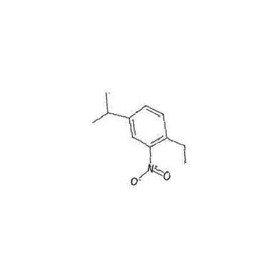 [CH2]C(C)c1ccc(CC)c([N+](=O)[O-])c1